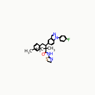 Cc1ccc(CC(c2ccc3c(cnn3-c3ccc(F)cc3)c2)C(C)(C)C(=O)NC2=NCCS2)cc1